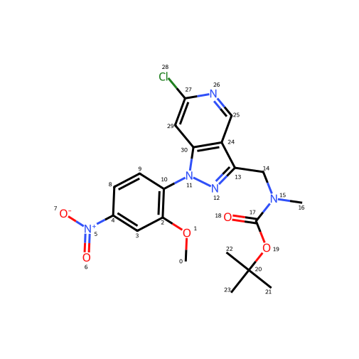 COc1cc([N+](=O)[O-])ccc1-n1nc(CN(C)C(=O)OC(C)(C)C)c2cnc(Cl)cc21